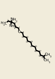 CCC(N)(N)CCCOCCCCCCCCCCC(C)C